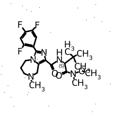 CON(C)C(=O)[C@@H](NC(=O)c1nc(-c2cc(F)c(F)cc2F)n2c1CN(C)CCC2)C(C)(C)C